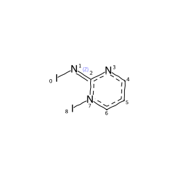 I/N=c1/ncccn1I